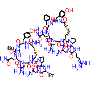 CC[C@H](C)[C@@H]1NC(=O)[C@H](Cc2ccc(O)cc2)NC(=O)[C@@H](N)CSSC[C@@H](C(=O)N2CCC[C@H]2C(=O)N[C@@H](CC(C)C)C(=O)NCC(N)=O)NC(=O)[C@H](CC(N)=O)NC(=O)[C@H](CCC(N)=O)NC1=O.NC(=O)CC[C@H]1NC(=O)[C@@H](Cc2ccccc2)NC(=O)[C@@H](Cc2ccc(O)cc2)NC(=O)CCSSC[C@@H](C(=O)N2CCC[C@@H]2C(=O)N[C@H](CCCN=C(N)N)C(=O)NCC(N)=O)NC(=O)[C@H](CC(N)=O)NC1=O